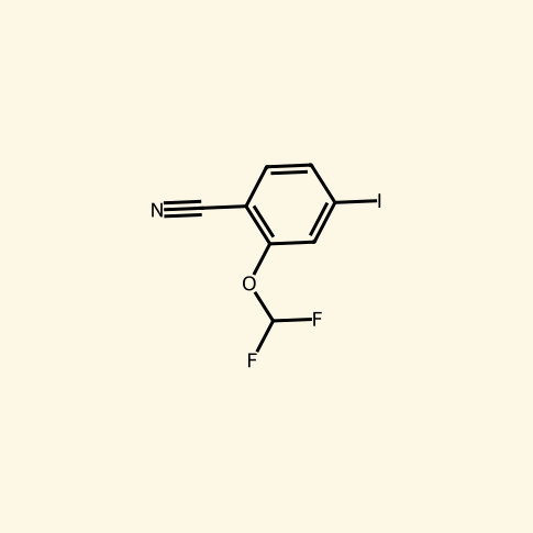 N#Cc1ccc(I)cc1OC(F)F